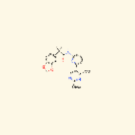 COc1ncc(-c2cccc(NC(=O)C3(c4ccc5c(c4)OCO5)CC3)n2)c(OC)n1